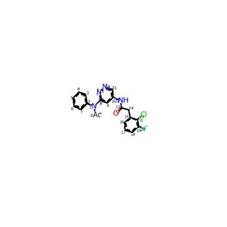 CC(=O)N(c1ccccc1)c1cc(NC(=O)Cc2cccc(F)c2Cl)cnn1